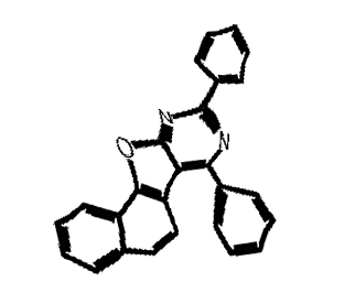 c1ccc(-c2nc(-c3ccccc3)c3c(n2)oc2c4ccccc4ccc23)cc1